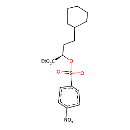 CCOC(=O)[C@@H](CCC1CCCCC1)OS(=O)(=O)c1ccc([N+](=O)[O-])cc1